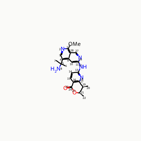 COc1ncc(C(C)(C)N)c2cc(Nc3ccc4c(n3)[C@@H](C)[C@@H](C)OC4=O)ncc12